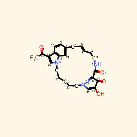 O=C1NCC/C=C/Cc2ccc3c(C(=O)C(F)(F)F)cn(c3c2)CCCCCn2cc(O)c(=O)c1n2